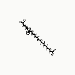 CC(C)CCCCCCCCCCCCCCC(=O)OCCCC(C)C